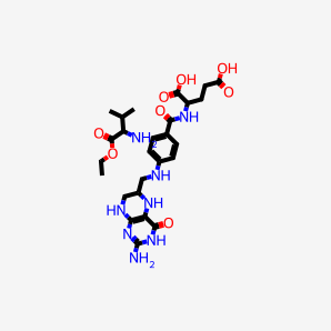 CCOC(=O)C(N)C(C)C.Nc1nc2c(c(=O)[nH]1)NC(CNc1ccc(C(=O)NC(CCC(=O)O)C(=O)O)cc1)CN2